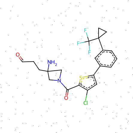 NC1(CCC=O)CN(C(=O)c2sc(-c3cccc(C4(C(F)(F)F)CC4)c3)cc2Cl)C1